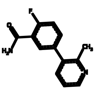 Cc1ncccc1-c1ccc(F)c(C(N)=O)c1